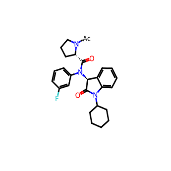 CC(=O)N1CCC[C@H]1C(=O)N(c1cccc(F)c1)[C@@H]1C(=O)N(C2CCCCC2)c2ccccc21